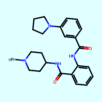 CCCN1CCC(NC(=O)c2ccccc2NC(=O)c2cccc(N3CCCC3)c2)CC1